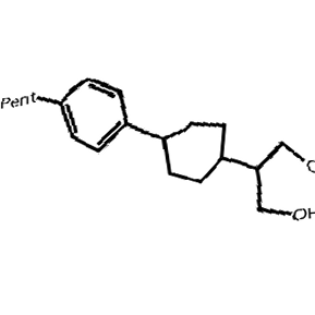 CCCCCc1ccc(C2CCC(C(CO)CO)CC2)cc1